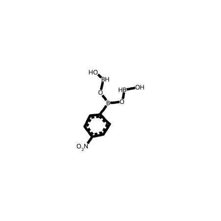 O=[N+]([O-])c1ccc(B(OBO)OBO)cc1